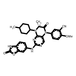 COc1ccc(N2C(=O)[C@@H](C)N(C3CCC(C)CC3)c3nc(Nc4ccc5[nH]c(=O)oc5c4)ncc32)cc1C#N